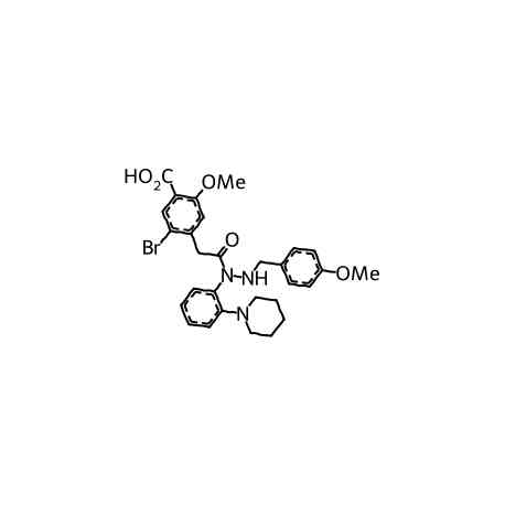 COc1ccc(CNN(C(=O)Cc2cc(OC)c(C(=O)O)cc2Br)c2ccccc2N2CCCCC2)cc1